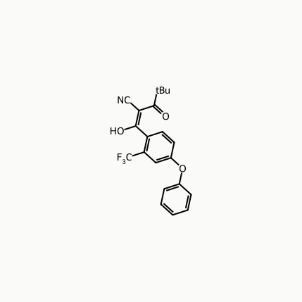 CC(C)(C)C(=O)C(C#N)=C(O)c1ccc(Oc2ccccc2)cc1C(F)(F)F